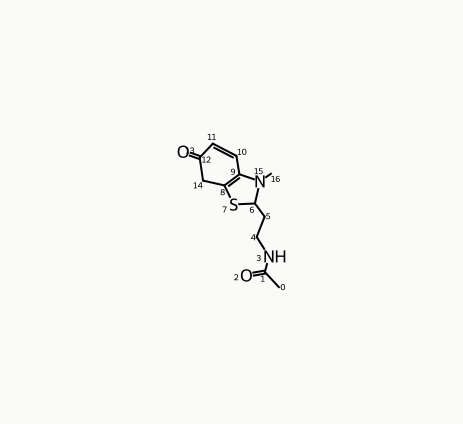 CC(=O)NCCC1SC2=C(C=CC(=O)C2)N1C